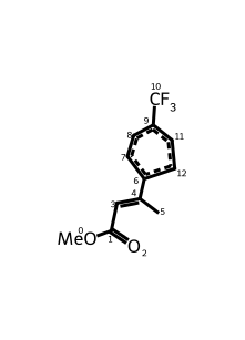 COC(=O)/C=C(\C)c1ccc(C(F)(F)F)cc1